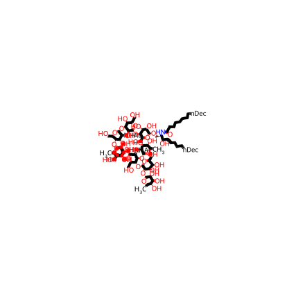 CCCCCCCCCCCCC/C=C/[C@@H](O)[C@H](CO[C@@H]1OC(CO)[C@@H](O[C@@H]2OC(CO)[C@H](O)[C@H](O[C@@H]3OC(CO)[C@@H](O[C@@H]4OC(CO)[C@H](O)[C@H](O[C@@H]5OC(CO)[C@@H](O[C@@H]6OC(CO)[C@H](O)[C@H](O)C6O[C@H]6OC(C)[C@@H](O)C(O)[C@@H]6O)[C@H](O[C@H]6OC(C)[C@@H](O)C(O)[C@@H]6O)C5NC(C)=O)C4O)[C@H](O[C@H]4OC(C)[C@@H](O)C(O)[C@@H]4O)C3NC(C)=O)C2O)[C@H](O)C1O)NC(=O)CCCCCCCCCCCCCCCCC